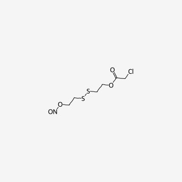 O=NOCCSSCCOC(=O)CCl